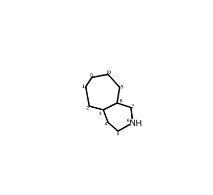 C1CCC2CCNCC2CC1